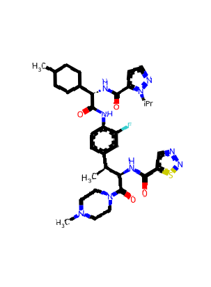 CC1CCC([C@H](NC(=O)c2ccnn2C(C)C)C(=O)Nc2ccc([C@H](C)[C@@H](NC(=O)c3cnns3)C(=O)N3CCN(C)CC3)cc2F)CC1